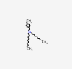 C=Cc1ccc(CCN(CCCCCCCCCC)CCCCCCCCCC)cc1